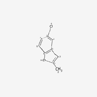 Cc1cc2cc(Cl)ccc2o1